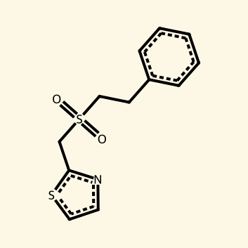 O=S(=O)(CCc1ccccc1)Cc1nccs1